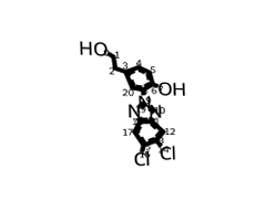 OCCc1ccc(O)c(-n2nc3cc(Cl)c(Cl)cc3n2)c1